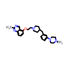 Cc1ncc2c(OCCN3CCC(Cc4cccc(N5CCN(C)CC5)c4)CC3)cccc2n1